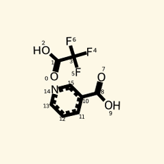 O=C(O)C(F)(F)F.O=C(O)c1cccnc1